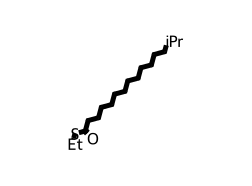 [CH2]CSC(=O)CCCCCCCCCCCCC(C)C